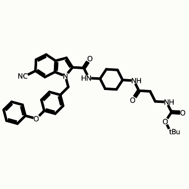 CC(C)(C)OC(=O)NCCC(=O)NC1CCC(NC(=O)c2cc3ccc(C#N)cc3n2Cc2ccc(Oc3ccccc3)cc2)CC1